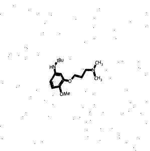 COc1ccc(NC(C)(C)C)cc1OCCCN(C)C